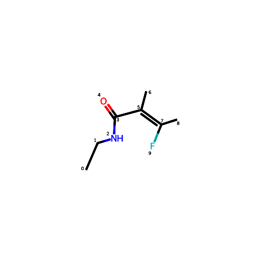 CCNC(=O)C(C)=C(C)F